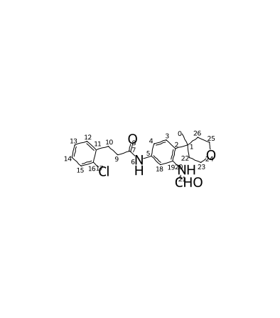 CC1(c2ccc(NC(=O)CCc3ccccc3Cl)cc2NC=O)CCOCC1